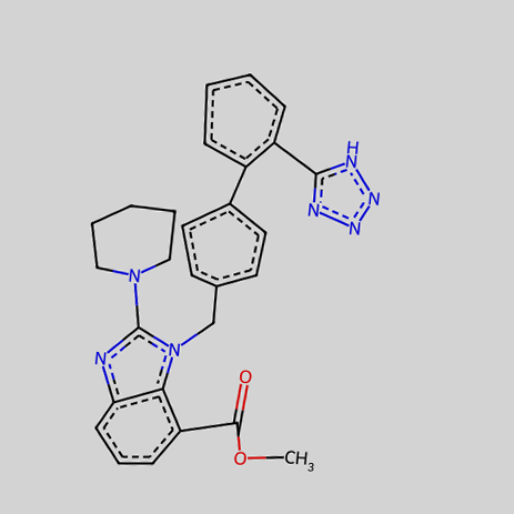 COC(=O)c1cccc2nc(N3CCCCC3)n(Cc3ccc(-c4ccccc4-c4nnn[nH]4)cc3)c12